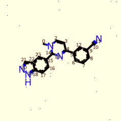 CN1C=CC(c2cccc(C#N)c2)=NC1c1ccc2[nH]ncc2c1